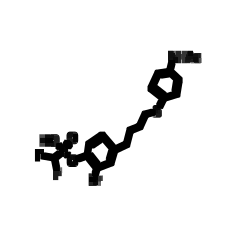 CC(=O)Nc1ccc(SCCCCc2ccc(OP(=O)(O)C(F)F)c(Br)c2)cc1